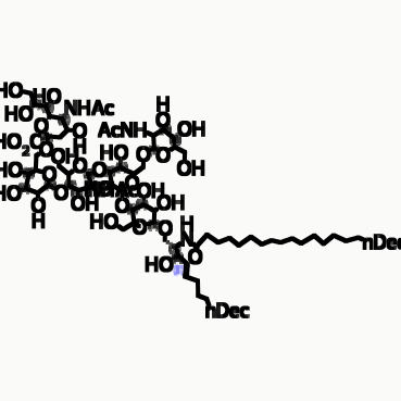 CCCCCCCCCCCCC/C=C/[C@@H](O)[C@H](CO[C@@H]1OC(CO)[C@@H](O[C@@H]2OC(CO[C@@H]3OC(CO)[C@@H](O)[C@H](O)C3NC(C)=O)[C@H](O)[C@H](O[C@@H]3OC(CO)[C@@H](O[C@@H]4OC(CO[C@]5(C(=O)O)CC(O)[C@@H](NC(C)=O)C([C@H](O)[C@H](O)CO)O5)[C@H](O)[C@H](O)C4O)[C@H](O)C3NC(C)=O)C2O)[C@H](O)C1O)NC(=O)CCCCCCCCCCCCCCCCCCCCCCCCC